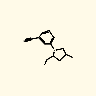 CCC1CC(C)CN1c1cccc(C#N)c1